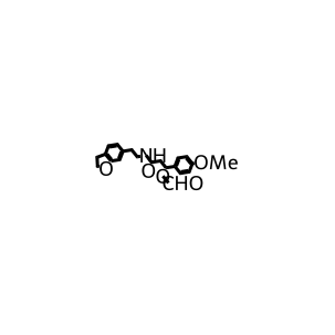 COc1ccc(C(CC(=O)NCCc2ccc3c(c2)OCC3)OC=O)cc1